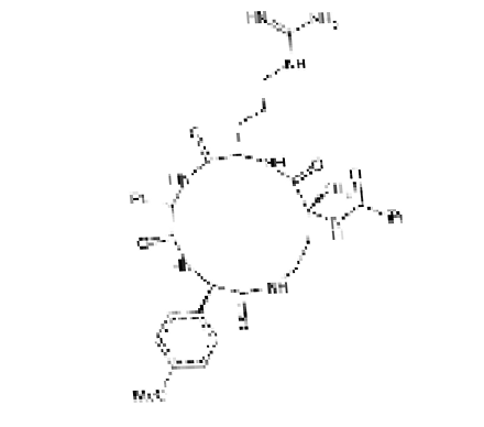 CC[C@@H]1NC(=O)[C@H](CCCNC(=N)N)NC(=O)[C@](C)(NC(=O)C(C)C)CCNC(=O)[C@@H](c2ccc(OC)cc2)NC1=O